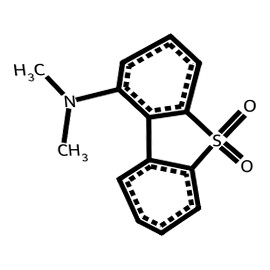 CN(C)c1cccc2c1-c1ccccc1S2(=O)=O